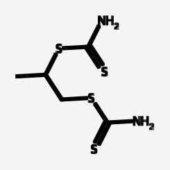 CC(CSC(N)=S)SC(N)=S